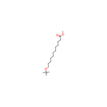 COC(=O)CCCCCCCCCCCO[Si](C)(C)C